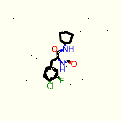 O=CNC(Cc1ccc(Cl)c(F)c1)C(=O)NC1CCCCC1